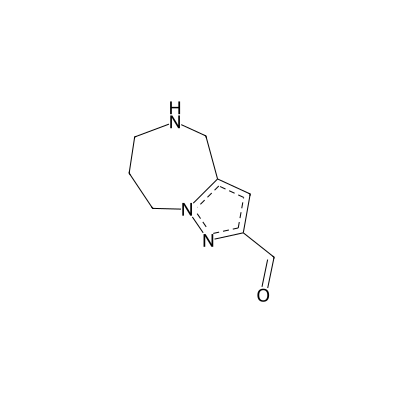 O=Cc1cc2n(n1)CCCNC2